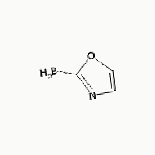 Bc1ncco1